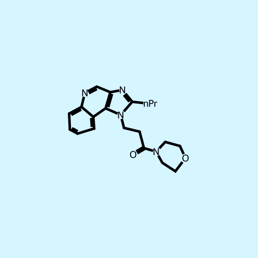 CCCc1nc2cnc3ccccc3c2n1CCC(=O)N1CCOCC1